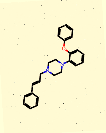 C(=C\c1ccccc1)/CN1CCN(c2ccccc2Oc2ccccc2)CC1